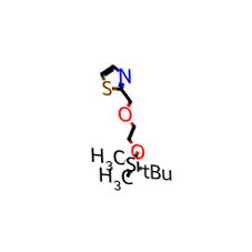 CC(C)(C)[Si](C)(C)OCCOCc1nccs1